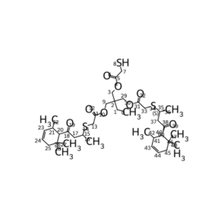 CCC(COC(=O)CS)(COC(=O)CSC(C)CC(=O)C1C(C)C=CCC1(C)C)COC(=O)CS[C@@H](C)CC(=O)[C@@H]1C(C)C=CCC1(C)C